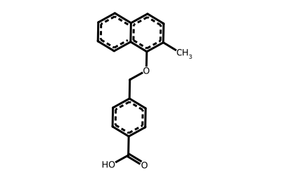 Cc1ccc2ccccc2c1OCc1ccc(C(=O)O)cc1